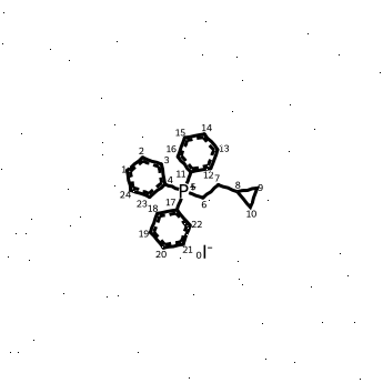 [I-].c1ccc([P+](CCC2CC2)(c2ccccc2)c2ccccc2)cc1